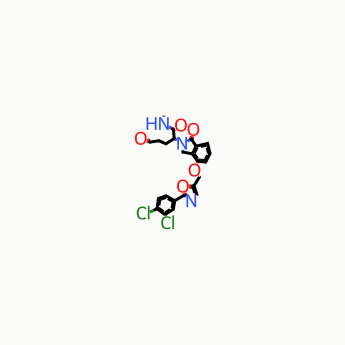 CNC(=O)C(CCC=O)N1Cc2c(OCc3cnc(-c4ccc(Cl)c(Cl)c4)o3)cccc2C1=O